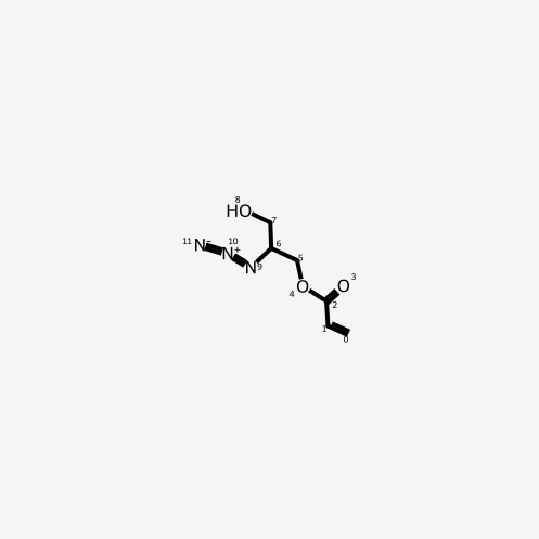 C=CC(=O)OCC(CO)N=[N+]=[N-]